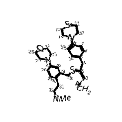 C=N/C=C(/Cc1ccc(N2CCSCC2)cc1)SCc1cc(N2CCOCC2)ccc1CCNC